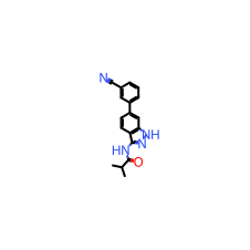 CC(C)C(=O)Nc1n[nH]c2cc(-c3cccc(C#N)c3)ccc12